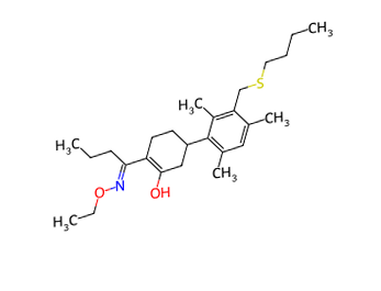 CCCCSCc1c(C)cc(C)c(C2CCC(C(CCC)=NOCC)=C(O)C2)c1C